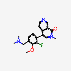 COc1c(CN(C)C)ccc(-c2cn(C)c(=O)c3cnccc23)c1F